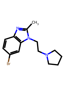 Cc1nc2ccc(Br)cc2n1CCN1CCCC1